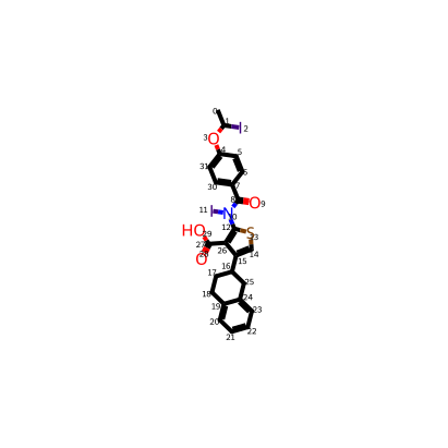 CC(I)Oc1ccc(C(=O)N(I)c2scc(C3CCc4ccccc4C3)c2C(=O)O)cc1